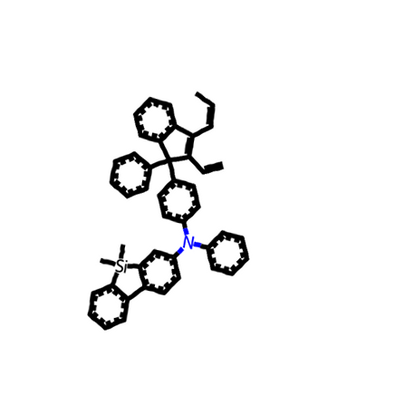 C=CC1=C(/C=C\C)c2ccccc2C1(c1ccccc1)c1ccc(N(c2ccccc2)c2ccc3c(c2)[Si](C)(C)c2ccccc2-3)cc1